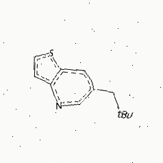 CC(C)(C)Cc1cnc2ccsc2c1